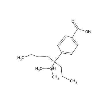 CCCCC(CCC)(c1ccc(C(=O)O)cc1)[SiH](C)C